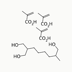 C=C(C)C(=O)O.C=C(C)C(=O)O.C=C(C)C(=O)O.CC(CO)CCCCC(CO)CO